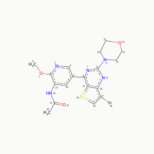 COc1ncc(-c2nc(N3CCOCC3)nc3c(Br)csc23)cc1NC(C)=O